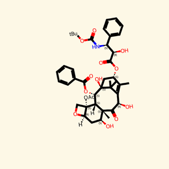 CC(=O)O[C@@]12CO[C@@H]1C[C@H](O)[C@@]1(C)C(=O)[C@H](O)C3=C(C)[C@@H](OC(=O)[C@H](O)[C@@H](NC(=O)OC(C)(C)C)c4ccccc4)C[C@@](O)([C@@H](OC(=O)c4ccccc4)[C@@H]21)C3(C)C